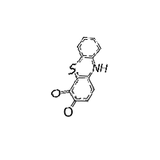 O=c1ccc2[nH]c3ccccc3sc=2c1=O